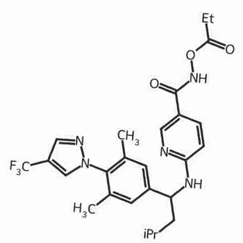 CCC(=O)ONC(=O)c1ccc(NC(CC(C)C)c2cc(C)c(-n3cc(C(F)(F)F)cn3)c(C)c2)nc1